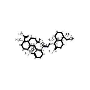 C=C1CCC2[C@](C)(C(=O)O)CCC[C@]2(C)[C@H]1[C@@H]1C(C)=CCC[C@@H]1/C(C)=C/C[C@H]1C(=C)CCC2[C@](C)(CO)CCC[C@@]21C